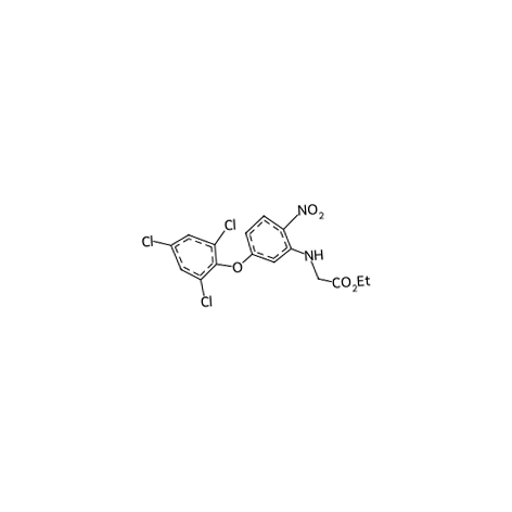 CCOC(=O)CNc1cc(Oc2c(Cl)cc(Cl)cc2Cl)ccc1[N+](=O)[O-]